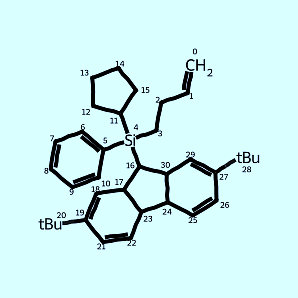 C=CCC[Si](c1ccccc1)(C1CCCC1)C1C2C=C(C(C)(C)C)C=CC2C2C=CC(C(C)(C)C)=CC21